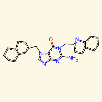 Nc1nc2ncn(Cc3ccc4ccccc4c3)c2c(=O)n1Cc1ccc2ccccc2n1